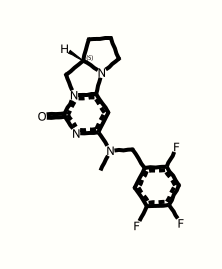 CN(Cc1cc(F)c(F)cc1F)c1cc2n(c(=O)n1)C[C@@H]1CCCN21